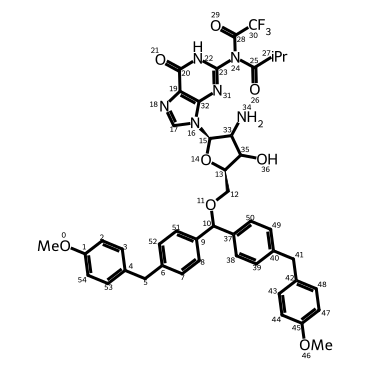 COc1ccc(Cc2ccc(C(OC[C@H]3O[C@@H](n4cnc5c(=O)[nH]c(N(C(=O)C(C)C)C(=O)C(F)(F)F)nc54)C(N)C3O)c3ccc(Cc4ccc(OC)cc4)cc3)cc2)cc1